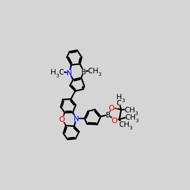 CB1c2ccccc2N(C)c2cc(-c3ccc4c(c3)N(c3ccc(B5OC(C)(C)C(C)(C)O5)cc3)c3ccccc3O4)ccc21